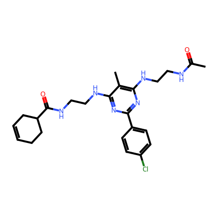 CC(=O)NCCNc1nc(-c2ccc(Cl)cc2)nc(NCCNC(=O)C2CC=CCC2)c1C